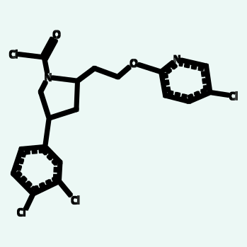 O=C(Cl)N1CC(c2ccc(Cl)c(Cl)c2)CC1CCOc1ccc(Cl)cn1